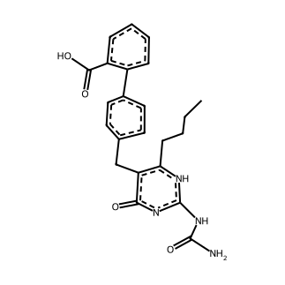 CCCCc1[nH]c(NC(N)=O)nc(=O)c1Cc1ccc(-c2ccccc2C(=O)O)cc1